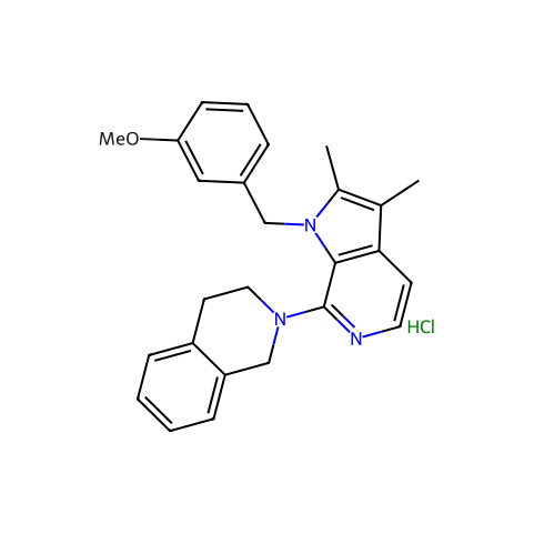 COc1cccc(Cn2c(C)c(C)c3ccnc(N4CCc5ccccc5C4)c32)c1.Cl